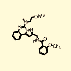 COCCN(C)c1nc2ccccc2c2cc(CNC(=O)c3ccccc3OC(F)(F)F)nn12